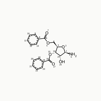 N[C@@H]1O[C@H](COC(=O)c2ccccc2)[C@@H](OC(=O)c2ccccc2)[C@H]1O